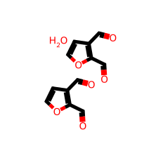 O.O=Cc1ccoc1C=O.O=Cc1ccoc1C=O